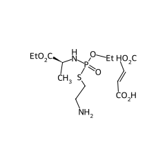 CCOC(=O)[C@H](C)NP(=O)(OCC)SCCN.O=C(O)/C=C/C(=O)O